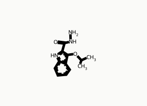 CC(C)Oc1c(C(=O)NN)[nH]c2ccccc12